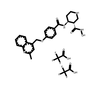 Cc1cc(COc2ccc(C(=O)N[C@H]3CCNC[C@@H]3C(=O)NO)cc2)c2ccccc2n1.O=C(O)C(F)(F)F.O=C(O)C(F)(F)F